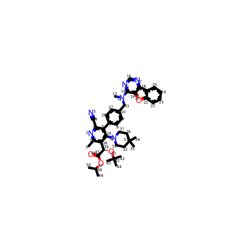 Cc1nc(C#N)c(-c2ccc(CN(C)c3ncnc4c3oc3ccccc34)cc2)c(N2CCC(C)(C)CC2)c1[C@H](OC(C)(C)C)C(=O)OC(C)C